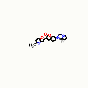 Cc1ccc2oc(-c3cc4ccc(N5CCN6CCC[C@@H]6C5)cc4oc3=O)cc2n1